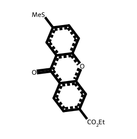 CCOC(=O)c1ccc2c(=O)c3cc(SC)ccc3oc2c1